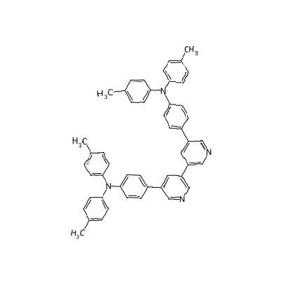 Cc1ccc(N(c2ccc(C)cc2)c2ccc(-c3cncc(-c4cncc(-c5ccc(N(c6ccc(C)cc6)c6ccc(C)cc6)cc5)c4)c3)cc2)cc1